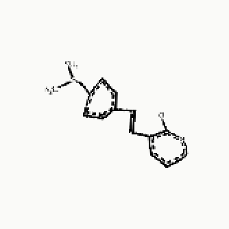 CN(C)c1ccc(C=Cc2cccnc2Cl)cc1